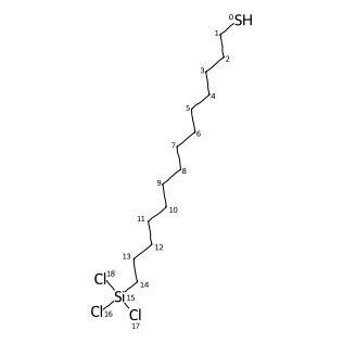 SCCCCCCCCCCCCCC[Si](Cl)(Cl)Cl